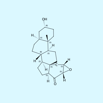 C[C@]12CC[C@@H](O)C[C@@H]1CC[C@@H]1[C@@H]2CC[C@@]23C[C@@H]4O[C@@H]4C(=O)[C@H]2CC[C@@H]13